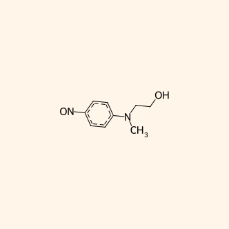 CN(CCO)c1ccc(N=O)cc1